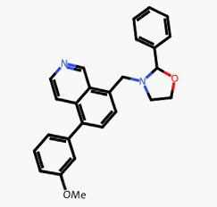 COc1cccc(-c2ccc(CN3CCOC3c3ccccc3)c3cnccc23)c1